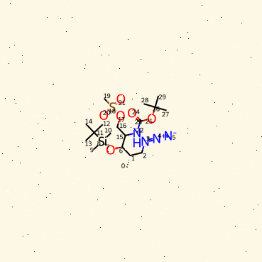 C[C@@H](CN=[N+]=[N-])[C@@H](O[Si](C)(C)C(C)(C)C)C(COS(C)(=O)=O)NC(=O)OC(C)(C)C